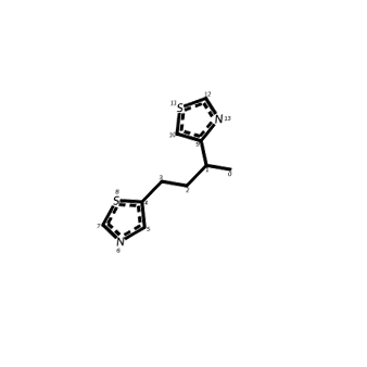 CC(CCc1cncs1)c1cscn1